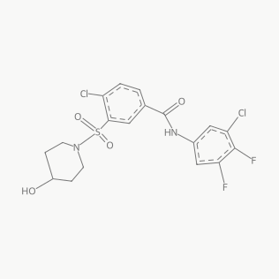 O=C(Nc1cc(F)c(F)c(Cl)c1)c1ccc(Cl)c(S(=O)(=O)N2CCC(O)CC2)c1